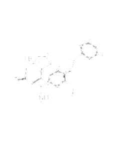 COc1cc(CN)c([C@]23C=CC(=O)C[C@H]2CCC3)cc1OCc1ccccc1